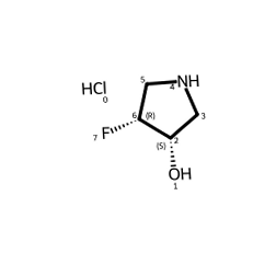 Cl.O[C@H]1CNC[C@H]1F